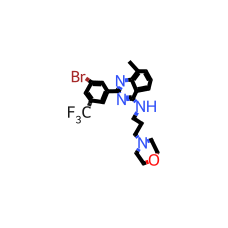 Cc1cccc2c(NCCCN3CCOCC3)nc(-c3cc(Br)cc(C(F)(F)F)c3)nc12